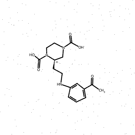 CC(=O)c1cccc(NCC[C@@H]2CN(C(=O)O)CCN2C(=O)O)c1